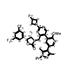 COc1ncc(-c2c(C)nn(C(C)C)c2C)cc1-c1cnc(N2CC(F)C2)nc1CN1C(=O)O[C@H](c2cc(C(F)(F)F)cc(C(F)(F)F)c2)[C@@H]1C